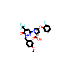 COc1ccc(Cn2nc(N3C[C@@H](Oc4ccccc4F)C[C@H]3C(=O)O)cc(C(F)(F)F)c2=O)cc1